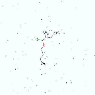 CCCCOC(Cl)C(C)CC